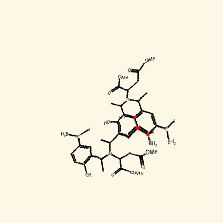 BP(I)c1ccc(O)c(C(C)N(C(CC(=O)OC)C(=O)OC)C(C)c2cc(P(B)I)cc(C(C)N(C(CC(=O)OC)C(=O)OC)C(C)c3cc(P(B)I)ccc3O)c2O)c1